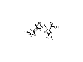 Cc1cc(C(=O)O)n(Cc2cc(-c3ccc(Cl)s3)on2)n1